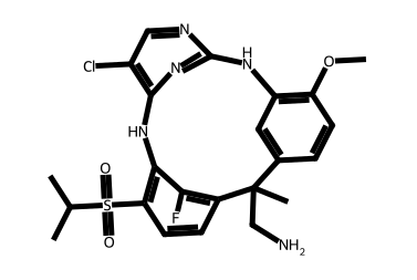 COc1ccc2cc1Nc1ncc(Cl)c(n1)Nc1c(S(=O)(=O)C(C)C)ccc(c1F)C2(C)CN